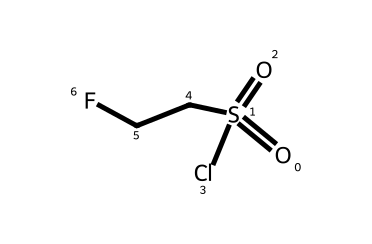 O=S(=O)(Cl)CCF